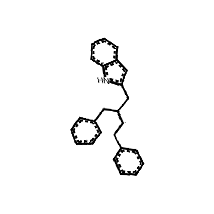 [CH](Cc1ccccc1)C(Cc1ccccc1)Cc1cc2ccccc2[nH]1